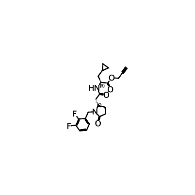 C#CCOC(=O)[C@H](CC1CC1)NC(=O)C[C@@H]1CCC(=O)N1Cc1cccc(F)c1F